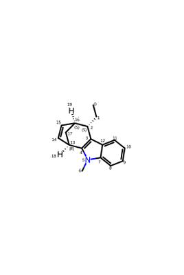 CC[C@@H]1c2c(n(C)c3ccccc23)[C@H]2C=C[C@@H]1C2